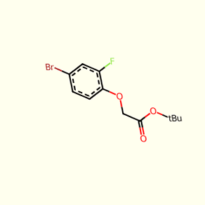 CC(C)(C)OC(=O)COc1ccc(Br)cc1F